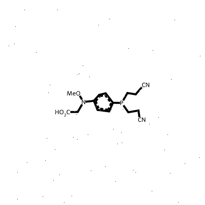 CON(CC(=O)O)c1ccc(P(CCC#N)CCC#N)cc1